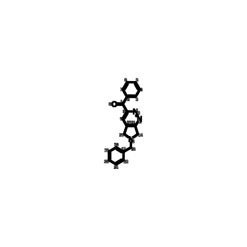 O=C(c1ccccc1)c1cc2c(nn1)CN(Cc1ccccc1)C2